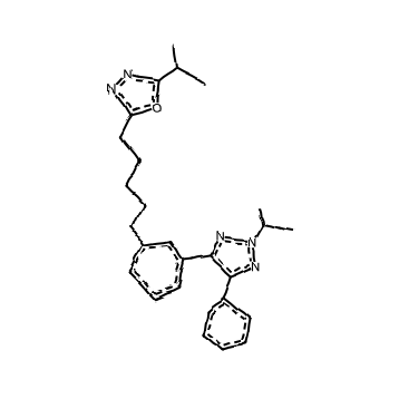 CC(C)c1nnc(CCCCCc2cccc(-c3nn(C(C)C)nc3-c3ccccc3)c2)o1